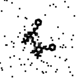 CC(C)(C)OC(=O)[C@H](CSSC[C@H](NC(=O)OCc1ccccc1)C(=O)OC(C)(C)C)NC(=O)OCc1ccccc1